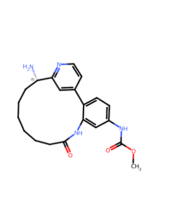 COC(=O)Nc1ccc2c(c1)NC(=O)CCCCCC[C@H](N)c1cc-2ccn1